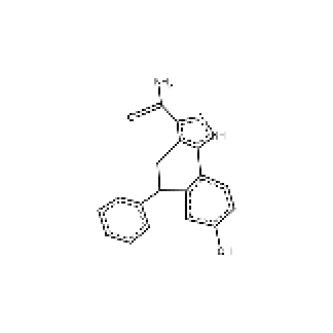 NC(=O)c1n[nH]c2c1CC(c1ccccc1)c1cc(O)ccc1-2